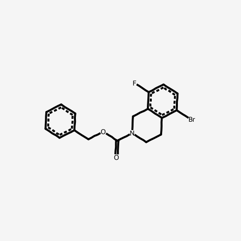 O=C(OCc1ccccc1)N1CCc2c(Br)ccc(F)c2C1